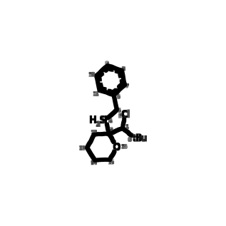 CC(C)(C)C(Cl)C1([SiH2]Cc2ccccc2)CCCCO1